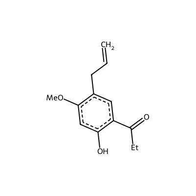 C=CCc1cc(C(=O)CC)c(O)cc1OC